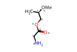 CO[C@H](C)COC(=O)CN